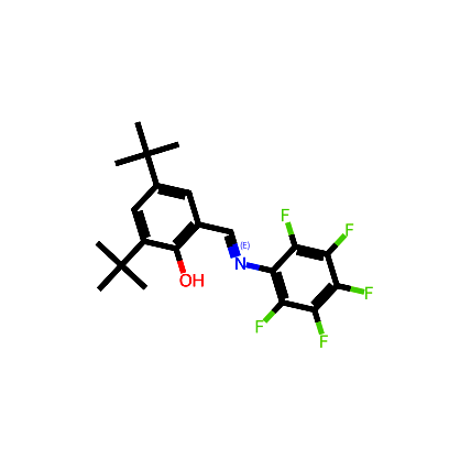 CC(C)(C)c1cc(/C=N/c2c(F)c(F)c(F)c(F)c2F)c(O)c(C(C)(C)C)c1